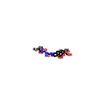 C=C(C)C(=O)NCC(=O)NCC(=O)N/N=C1/C=CC2(C)C(=C1)CCC1[C@@H]3C[C@@H](C)[C@@]4(C(=O)CO)OC34CC(O)[C@@]12F